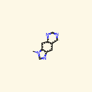 Cn1cnc2cc3[c]ncnc3cc21